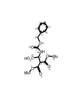 CC(C)(C)OC(=O)C(C(=O)OC(C)(C)C)C(NC(=O)OCc1ccccc1)C(=O)O